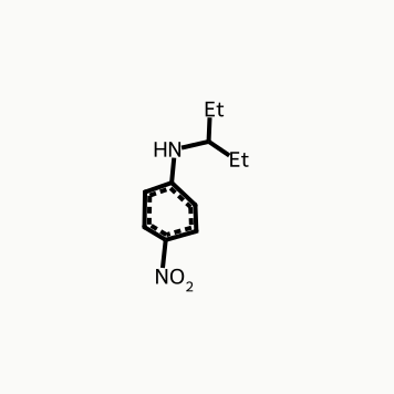 CCC(CC)Nc1ccc([N+](=O)[O-])cc1